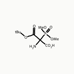 COP(=O)(OC)C(N)(C(=O)O)C(=O)OC(C)(C)C